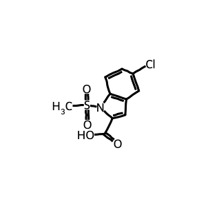 CS(=O)(=O)n1c(C(=O)O)cc2cc(Cl)ccc21